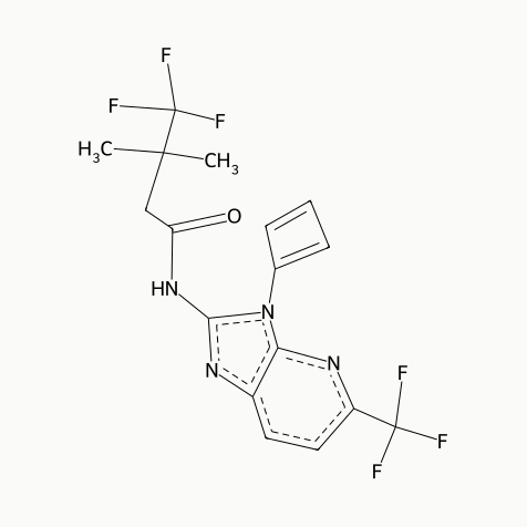 CC(C)(CC(=O)Nc1nc2ccc(C(F)(F)F)nc2n1C1=CC=C1)C(F)(F)F